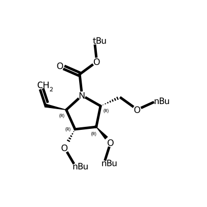 C=C[C@@H]1[C@@H](OCCCC)[C@H](OCCCC)[C@@H](COCCCC)N1C(=O)OC(C)(C)C